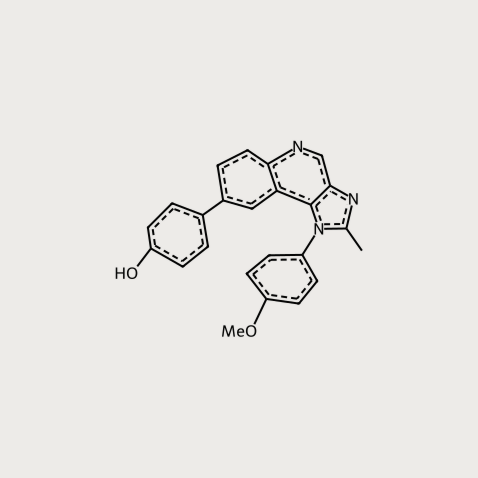 COc1ccc(-n2c(C)nc3cnc4ccc(-c5ccc(O)cc5)cc4c32)cc1